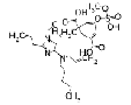 C=CCC1=NC(N(CC=C)CCCCC)CN1CC.CC1(C(=O)O)C=CC=C(C(=O)O)C1.COS(=O)(=O)O